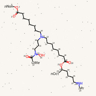 CCCCCCCCCOC(=O)CCCCCCCN(CCCCCCCC(=O)OC(CCCCCCCC)CCCCNCCC)CCCN(O)C(=O)OC